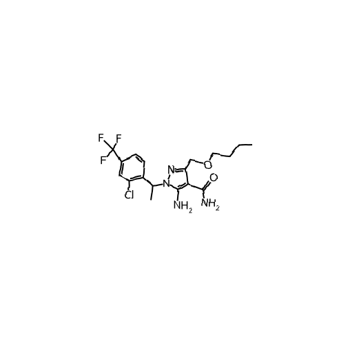 CCCCOCc1nn(C(C)c2ccc(C(F)(F)F)cc2Cl)c(N)c1C(N)=O